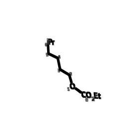 CCOC(=O)OCCCCC(C)C